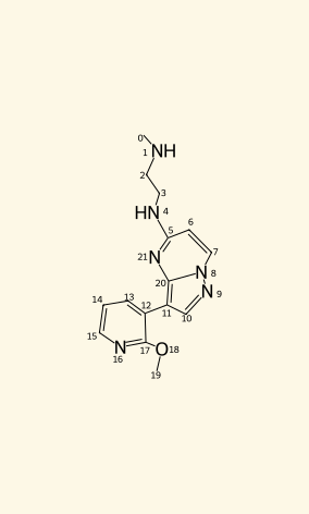 CNCCNc1ccn2ncc(-c3cccnc3OC)c2n1